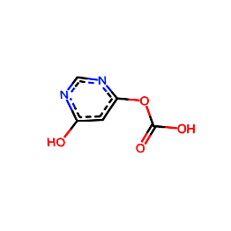 O=C(O)Oc1cc(O)ncn1